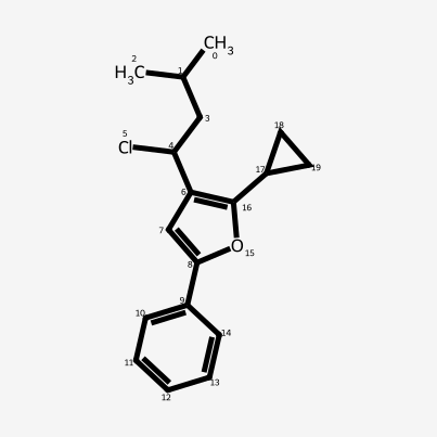 CC(C)CC(Cl)c1cc(-c2ccccc2)oc1C1CC1